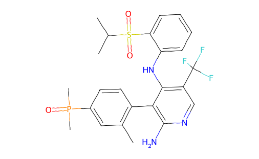 Cc1cc(P(C)(C)=O)ccc1-c1c(N)ncc(C(F)(F)F)c1Nc1ccccc1S(=O)(=O)C(C)C